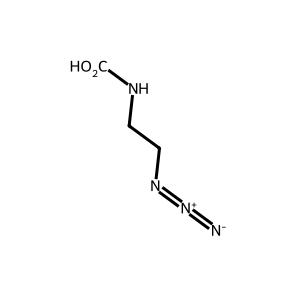 [N-]=[N+]=NCCNC(=O)O